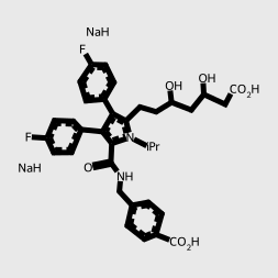 CC(C)n1c(CCC(O)CC(O)CC(=O)O)c(-c2ccc(F)cc2)c(-c2ccc(F)cc2)c1C(=O)NCc1ccc(C(=O)O)cc1.[NaH].[NaH]